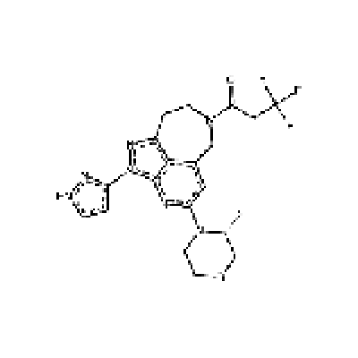 C[C@@H]1COCCN1c1cc2c3c(nn(-c4cc[nH]n4)c3n1)CCN(C(=O)CC(F)(F)F)C2